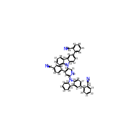 N#Cc1ccc(-c2cc(-n3c4ccccc4c4cc(-c5ccccc5C#N)ccc43)ncc2-n2c3ccccc3c3cc(-c4ccccc4C#N)ccc32)cc1